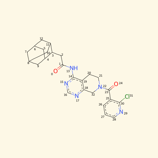 O=C(CC1C2CC3CC(C2)CC1C3)Nc1ncnc2c1CCN(C(=O)c1cccnc1Cl)C2